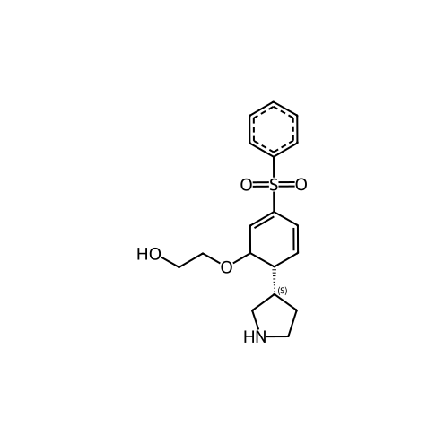 O=S(=O)(C1=CC(OCCO)C([C@@H]2CCNC2)C=C1)c1ccccc1